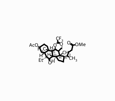 CC[C@H]1C(=O)[C@@H]2[C@H]([C@@H](OC(=O)C(F)(F)F)C(I)[C@]3(C)[C@@H](C(C)CCC(=O)OC)CC[C@@H]23)[C@@]2(C)CC[C@@H](OC(C)=O)C[C@@H]12